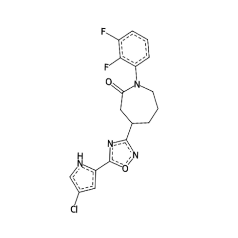 O=C1CC(c2noc(-c3cc(Cl)c[nH]3)n2)CCCN1c1cccc(F)c1F